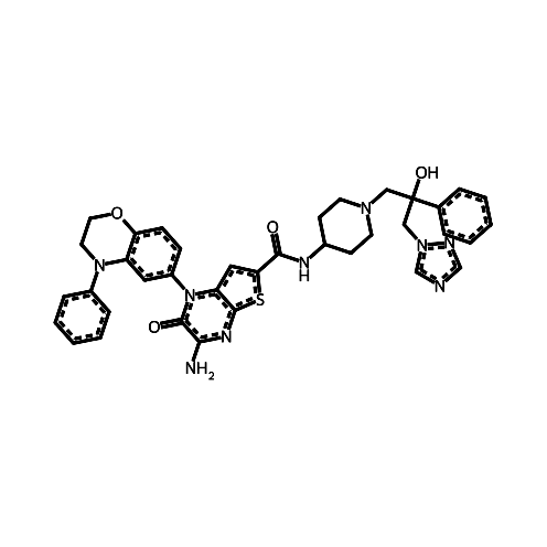 Nc1nc2sc(C(=O)NC3CCN(CC(O)(Cn4cncn4)c4ccccc4)CC3)cc2n(-c2ccc3c(c2)N(c2ccccc2)CCO3)c1=O